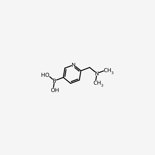 CN(C)Cc1ccc(B(O)O)cn1